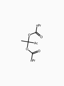 CCCC(=O)OC(C)(OC(=O)CCC)C(C)=O